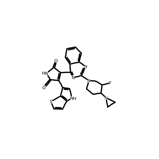 O=C1NC(=O)C(c2c[nH]c3ccsc23)=C1c1nc(N2CCC(N3CC3)C(F)C2)nc2ccccc12